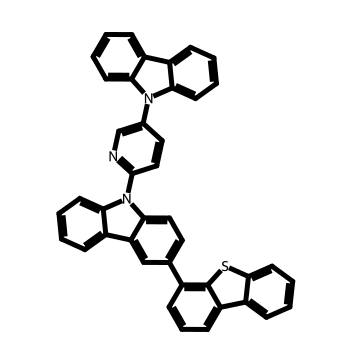 c1ccc2c(c1)sc1c(-c3ccc4c(c3)c3ccccc3n4-c3ccc(-n4c5ccccc5c5ccccc54)cn3)cccc12